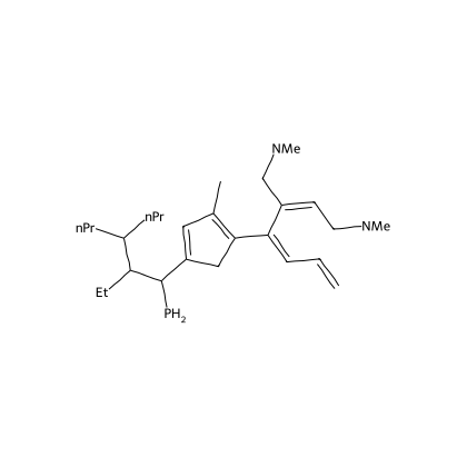 C=C/C=C(C1=C(C)C=C(C(P)C(CC)C(CCC)CCC)C1)\C(=C/CNC)CNC